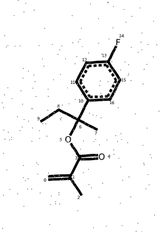 C=C(C)C(=O)OC(C)(CC)c1ccc(F)cc1